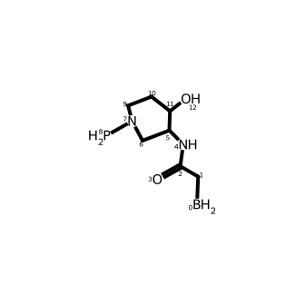 BCC(=O)NC1CN(P)CCC1O